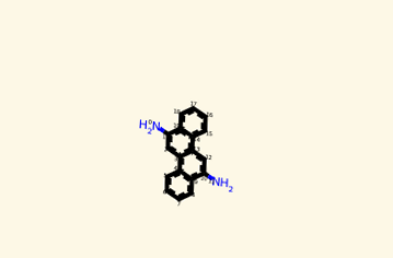 Nc1cc2c3ccccc3c(N)cc2c2ccccc12